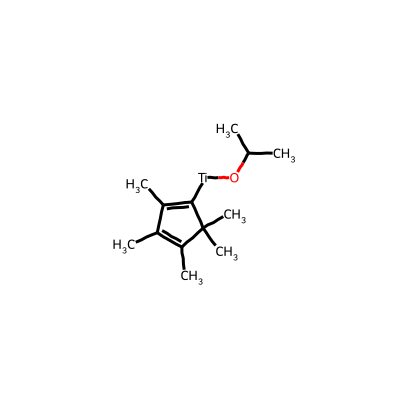 CC1=C(C)C(C)(C)[C]([Ti][O]C(C)C)=C1C